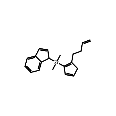 C=CCCC1=[C]([Zr]([CH3])([CH3])[CH]2C=Cc3ccccc32)C=CC1